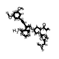 C=CC(=O)[C@@H]1C[C@H](n2nc(C#Cc3cc(OC)cc(OC)c3)c3c(N)ncnc32)CN1c1nnc(CN(C)C)o1